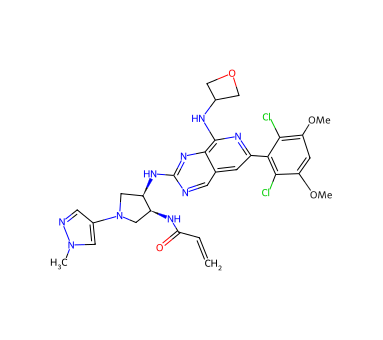 C=CC(=O)N[C@H]1CN(c2cnn(C)c2)C[C@H]1Nc1ncc2cc(-c3c(Cl)c(OC)cc(OC)c3Cl)nc(NC3COC3)c2n1